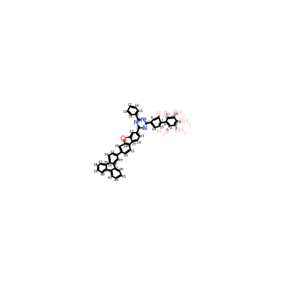 Bc1c(B)c(B)c(-c2ccc(-c3nc(-c4ccccc4)nc(-c4ccc5c(c4)oc4cc(-c6ccc7c8ccccc8c8ccccc8c7c6)ccc45)n3)cc2)c(B)c1B